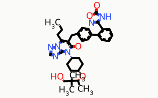 CCCc1c(Cc2ccc(-c3ccccc3-c3noc(=O)[nH]3)cc2)c(=O)n([C@H]2CC[C@H](OC(C)C(C)(C)CO)CC2)c2ncnn12